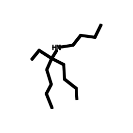 CCCCNC(CC)(CCCC)CCCC